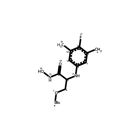 Cc1cc(NC(COC(C)(C)C)C(=O)NO)cc(C)c1F